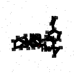 N#Cc1ccc(C2(NCCC(=O)N3CC4CCC(C3)N4c3ccc(C#N)cn3)CC2)cc1